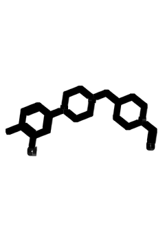 Cc1ccc(N2CCN(CC3CCN(C=O)CC3)CC2)cc1Cl